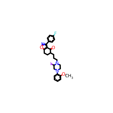 COc1ccccc1N1CCN(CCCC2CCc3onc(-c4ccc(F)cc4)c3C2=O)C(I)C1